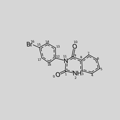 O=c1[nH]c2ccccc2c(=O)n1-c1ccc(Br)cc1